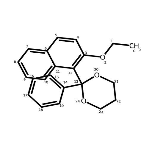 CCOc1ccc2ccccc2c1C1(c2ccccc2)OCCCO1